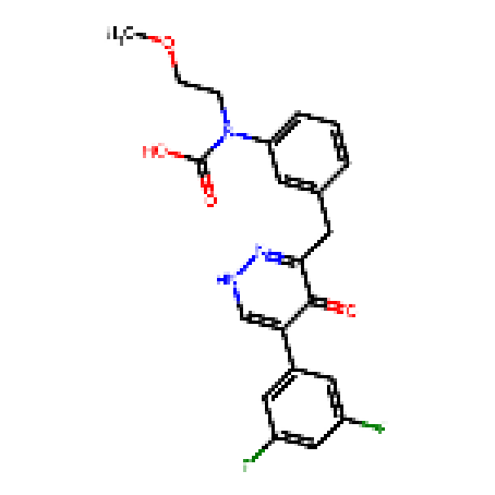 COCCN(C(=O)O)c1cccc(Cc2n[nH]cc(-c3cc(F)cc(F)c3)c2=O)c1